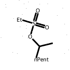 CCCCCC(C)OS(=O)(=O)CC